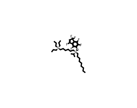 CCCCCCCCC[Si](CCCCCC[Si](CCC)(CCC)CCC)(Oc1c(F)c(F)c2c(c1F)C(F)=[C]C2(F)F)C(C)C